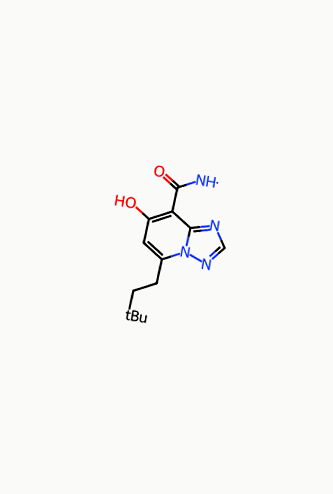 CC(C)(C)CCc1cc(O)c(C([NH])=O)c2ncnn12